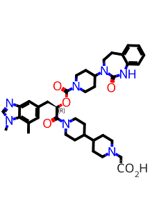 Cc1cc(C[C@@H](OC(=O)N2CCC(N3CCc4ccccc4NC3=O)CC2)C(=O)N2CCC(C3CCN(CC(=O)O)CC3)CC2)cc2ncn(C)c12